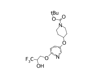 CC(C)(C)OC(=O)N1CCC(Oc2ccc(OCC(O)C(F)(F)F)nc2)CC1